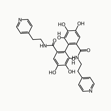 O=C(NCCc1ccncc1)c1cc(O)c(O)c(O)c1-c1c(C(=O)NCCc2ccncc2)cc(O)c(O)c1O